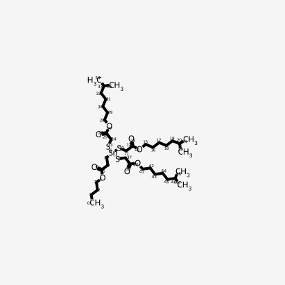 CCCCOC(=O)C[CH2][Sn]([S]CC(=O)OCCCCCC(C)C)([S]CC(=O)OCCCCCC(C)C)[S]CC(=O)OCCCCCC(C)C